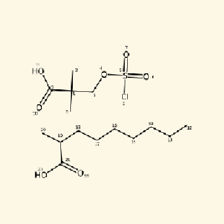 CC(C)(COS(=O)(=O)Cl)C(=O)O.CCCCCCCC(C)C(=O)O